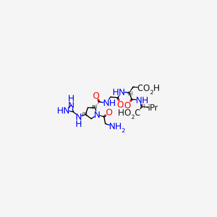 CC(C)[C@H](NC(=O)[C@H](CC(=O)O)NC(=O)CNC(=O)[C@H]1C[C@H](NC2NN2)CN1C(=O)CN)C(=O)O